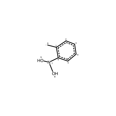 [CH2]c1ccccc1N(O)O